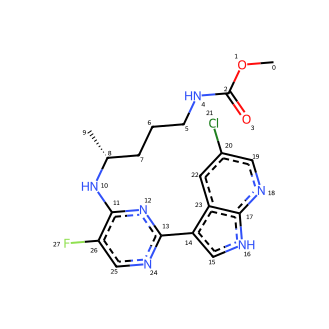 COC(=O)NCCC[C@@H](C)Nc1nc(-c2c[nH]c3ncc(Cl)cc23)ncc1F